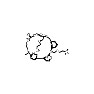 CN1CCCN(C)c2ccc(cn2)-c2ccnc(n2)N(COCCS(C)(C)C)c2cccc(c2)CN2CCN(CC1=O)CC2COCCC#N